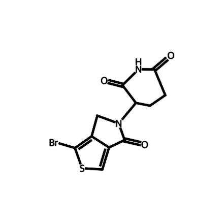 O=C1CCC(N2Cc3c(csc3Br)C2=O)C(=O)N1